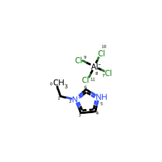 CC[n+]1cc[nH]c1.[Cl][Al-]([Cl])([Cl])[Cl]